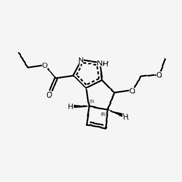 CCOC(=O)c1n[nH]c2c1[C@H]1C=C[C@H]1C2OCOC